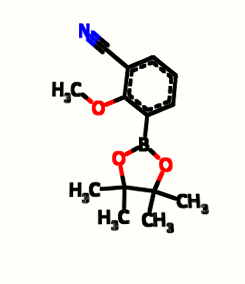 COc1c(C#N)cccc1B1OC(C)(C)C(C)(C)O1